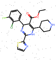 CCOC(=O)C1=C(C2CCNCC2)NC(c2nccs2)=NC1c1cccc(F)c1Cl